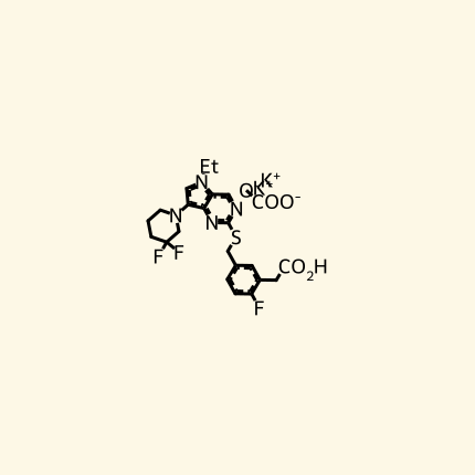 CCn1cc(N2CCCC(F)(F)C2)c2nc(SCc3ccc(F)c(CC(=O)O)c3)ncc21.O=C([O-])[O-].[K+].[K+]